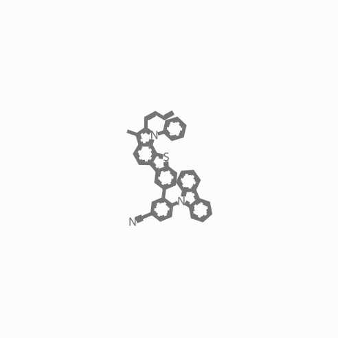 C=C/C=C\c1c(C)c2ccc3c4cc(-c5cc(C#N)ccc5-n5c6ccccc6c6ccccc65)ccc4sc3c2n1-c1ccccc1